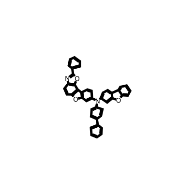 c1ccc(-c2ccc(N(c3ccc4c(c3)oc3ccccc34)c3ccc4c(c3)oc3ccc5nc(-c6ccccc6)oc5c34)cc2)cc1